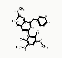 COc1cc(OC)c(Cl)c(-c2cc3c(c(Cc4ccccc4)n2)=NC(SC)NC=3)c1Cl